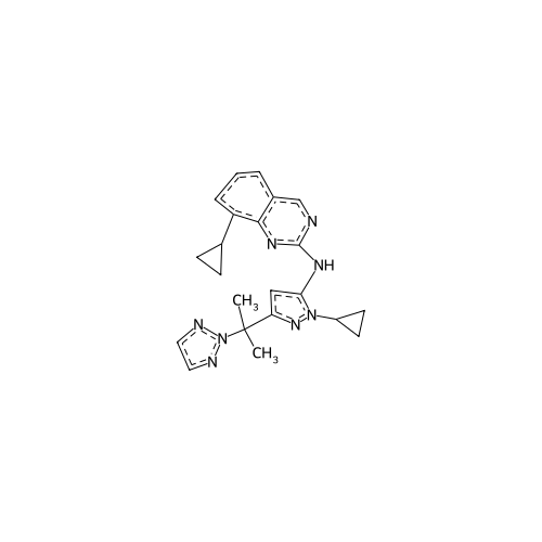 CC(C)(c1cc(Nc2ncc3cccc(C4CC4)c3n2)n(C2CC2)n1)n1nccn1